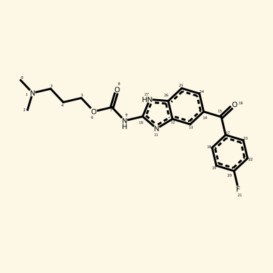 CN(C)CCCOC(=O)Nc1nc2cc(C(=O)c3ccc(F)cc3)ccc2[nH]1